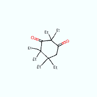 CCC1(CC)C(=O)CC(CC)(CC)C(CC)(CC)C1=O